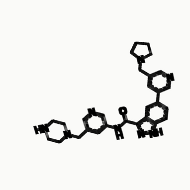 O=C(Nc1cncc(CN2CCNCC2)c1)c1n[nH]c2ccc(-c3cncc(CN4CCCC4)c3)cc12